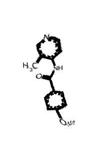 COc1ccc(C(=O)Nc2ccncc2C)cc1